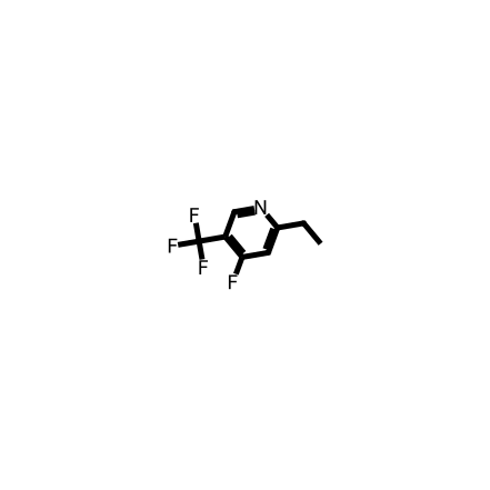 CCc1cc(F)c(C(F)(F)F)cn1